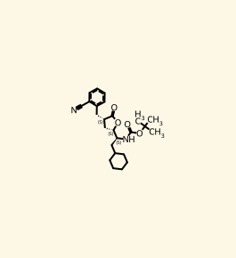 CC(C)(C)OC(=O)N[C@@H](CC1CCCCC1)[C@@H]1C[C@H](Cc2ccccc2C#N)C(=O)O1